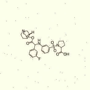 O=C(O[C@H]1CN2CCC1CC2)C(Nc1cccc(S(=O)(=O)N2CCCC2C(=O)O)c1)c1cccc(F)c1